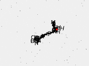 COc1cc(Nc2c(C#N)cnc3cc(OCCCN4CCN(CCCCCOCCOCCCCCC(=O)N[C@H](C(=O)N5C[C@H](O)C[C@H]5C(=O)NCc5ccc(-c6scnc6C)cc5)C(C)(C)C)CC4)c(OC)cc23)c(Cl)cc1Cl